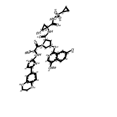 CC[C@@H]1C[C@]1(NC(=O)[C@@H]1C[C@@H](Oc2ncc(OC)c3ccc(Cl)cc23)CN1C(=O)[C@@H](Nc1nc(-c2ccc3c(c2)OCCO3)cs1)C(C)(C)C)C(=O)NS(=O)(=O)C1CC1